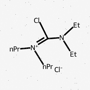 CCC[N+](CCC)=C(Cl)N(CC)CC.[Cl-]